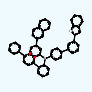 c1ccc(-c2ccc(-c3ccccc3N(c3ccc(-c4cccc(-c5cc6ccccc6o5)c4)cc3)c3cccc(-c4ccc5ccccc5c4)c3)cc2)cc1